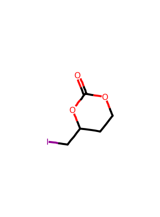 O=C1OCCC(CI)O1